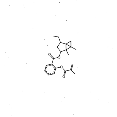 C=C(C)C(=O)Oc1ccccc1C(=O)OC1CC(CC)C23CC2(C)C13C